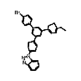 CCC1=CC=C(c2cc(-c3ccc(Br)cc3)cc(-c3ccc(-n4nnc5ccccc54)cc3)c2)CC1